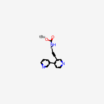 CC(C)(C)OC(=O)NCC#Cc1cnccc1-c1cccnc1